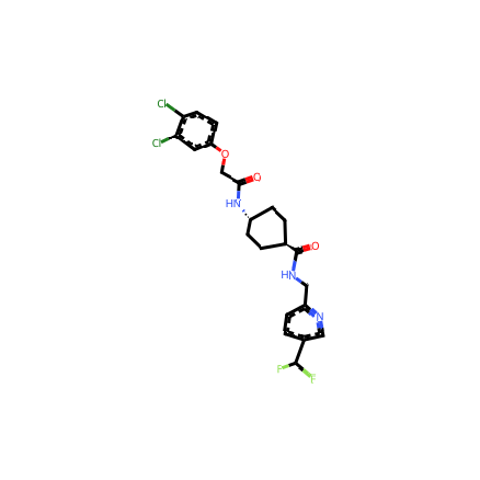 O=C(COc1ccc(Cl)c(Cl)c1)N[C@H]1CC[C@H](C(=O)NCc2ccc(C(F)F)cn2)CC1